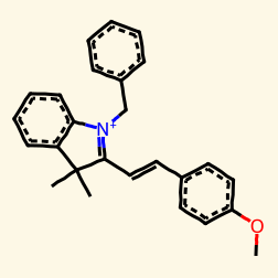 COc1ccc(/C=C/C2=[N+](Cc3ccccc3)c3ccccc3C2(C)C)cc1